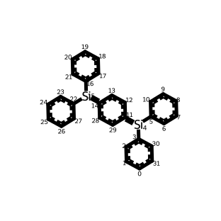 c1ccc([Si](c2ccccc2)=c2ccc(=[Si](c3ccccc3)c3ccccc3)cc2)cc1